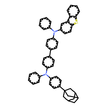 c1ccc(N(c2ccc(-c3ccc(N(c4ccccc4)c4ccc5sc6ccccc6c5c4)cc3)cc2)c2ccc(C34CC5CC(C3)C(C5)C4)cc2)cc1